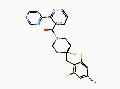 N#Cc1cc(F)c(CC2(F)CCN(C(=O)c3cccnc3-c3ccncn3)CC2)c(F)c1